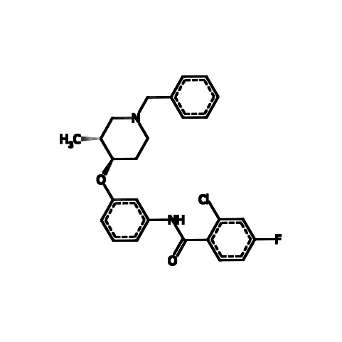 C[C@@H]1CN(Cc2ccccc2)CC[C@H]1Oc1cccc(NC(=O)c2ccc(F)cc2Cl)c1